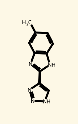 Cc1ccc2[nH]c(-c3c[nH]nn3)nc2c1